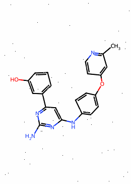 Cc1cc(Oc2ccc(Nc3cc(-c4cccc(O)c4)nc(N)n3)cc2)ccn1